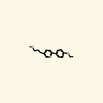 CCOc1ccc(-c2ccc(CCCOC)cn2)cc1